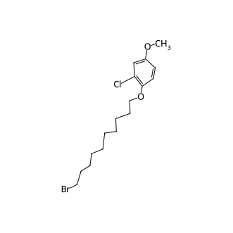 COc1ccc(OCCCCCCCCCCBr)c(Cl)c1